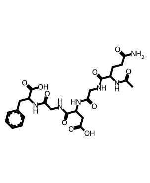 CC(=O)NC(CCC(N)=O)C(=O)NCC(=O)NC(CC(=O)O)C(=O)NCC(=O)NC(Cc1ccccc1)C(=O)O